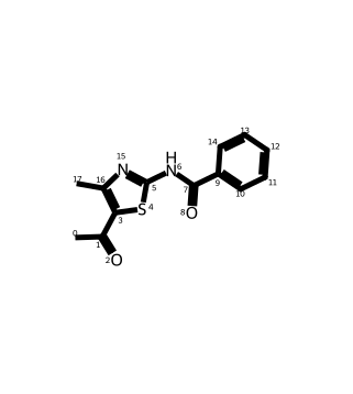 CC(=O)c1sc(NC(=O)c2ccccc2)nc1C